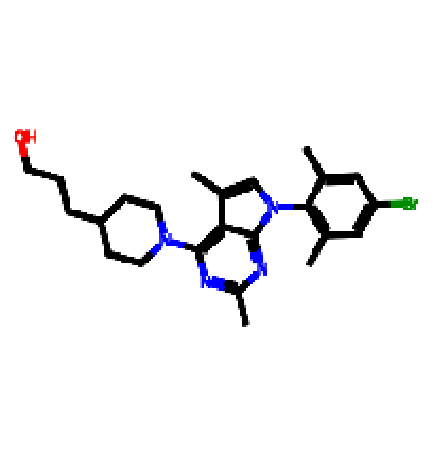 Cc1nc(N2CCC(CCCO)CC2)c2c(C)cn(-c3c(C)cc(Br)cc3C)c2n1